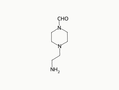 NCCN1CCN(C=O)CC1